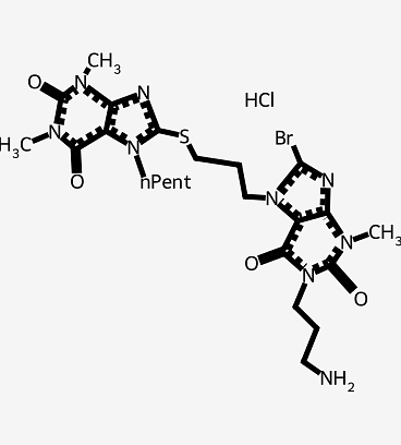 CCCCCn1c(SCCCn2c(Br)nc3c2c(=O)n(CCCN)c(=O)n3C)nc2c1c(=O)n(C)c(=O)n2C.Cl